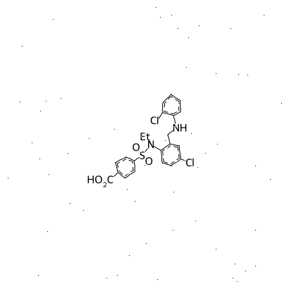 CCN(c1ccc(Cl)cc1CNc1ccccc1Cl)S(=O)(=O)c1ccc(C(=O)O)cc1